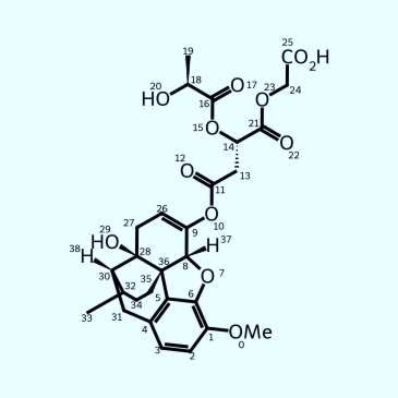 COc1ccc2c3c1O[C@H]1C(OC(=O)C[C@H](OC(=O)[C@H](C)O)C(=O)OCC(=O)O)=CC[C@@]4(O)[C@@H](C2)C(C)CC[C@]314